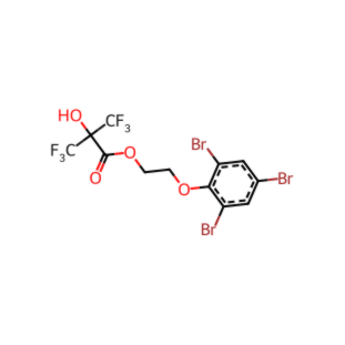 O=C(OCCOc1c(Br)cc(Br)cc1Br)C(O)(C(F)(F)F)C(F)(F)F